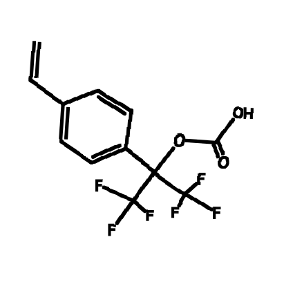 C=Cc1ccc(C(OC(=O)O)(C(F)(F)F)C(F)(F)F)cc1